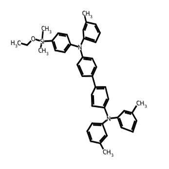 CCO[Si](C)(C)c1ccc(N(c2ccc(-c3ccc(N(c4cccc(C)c4)c4cccc(C)c4)cc3)cc2)c2cccc(C)c2)cc1